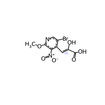 COc1ncc(Br)c(/C=C(\O)C(=O)O)c1[N+](=O)[O-]